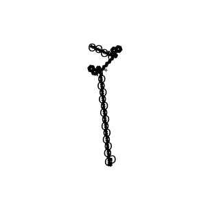 COCCOCCOCCN1\C(=C/C=C/C=C/C=C/C2=[N+](CCOCCOCCOCCOCCOCCOCCOCCOCCOCCOCCOCCOCCC(=O)OC(C)(C)C)c3ccc4ccccc4c3C2(C)C)C(C)(C)c2c1ccc1ccccc21